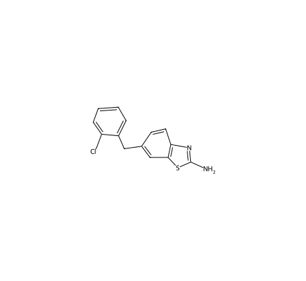 Nc1nc2ccc(Cc3ccccc3Cl)cc2s1